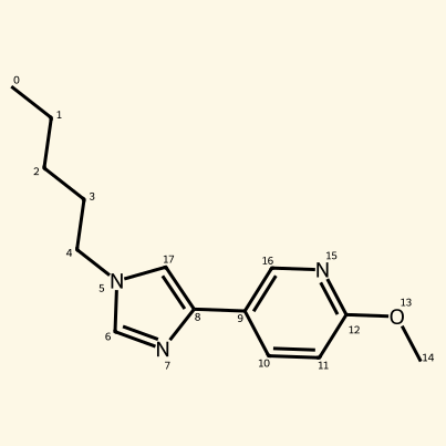 CCCCCn1cnc(-c2ccc(OC)nc2)c1